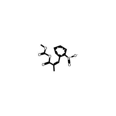 COC(=O)OC(=O)C(C)=Cc1ccccc1[N+](=O)[O-]